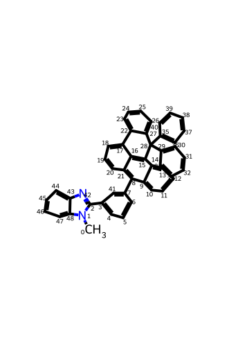 Cn1c(-c2cccc(-c3c4ccccc4c4c5c(cccc35)-c3ccccc3C4(c3ccccc3)c3ccccc3)c2)nc2ccccc21